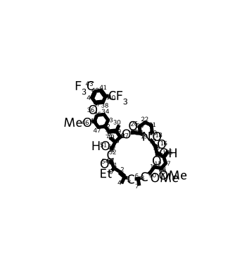 CCC1/C=C(\C)CC(C)CC(OC)C2OC(O)(C(=O)C(=O)N3CCCCC3C(=O)OC(C(C)=CC3CCC(Oc4cc(C(F)(F)F)cc(C(F)(F)F)c4)C(OC)C3)C(C)C(O)CC1=O)C(C)CC2OC